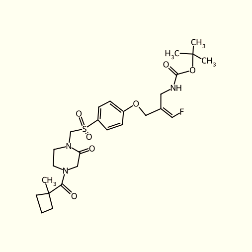 CC(C)(C)OC(=O)NC/C(=C\F)COc1ccc(S(=O)(=O)CN2CCN(C(=O)C3(C)CCC3)CC2=O)cc1